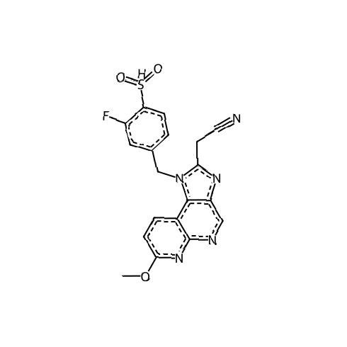 COc1ccc2c(ncc3nc(CC#N)n(Cc4ccc([SH](=O)=O)c(F)c4)c32)n1